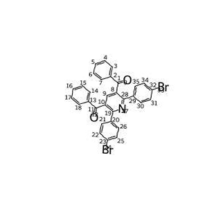 O=C(c1ccccc1)c1cc(C(=O)c2ccccc2)c(-c2ccc(Br)cc2)nc1-c1ccc(Br)cc1